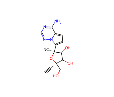 C#C[C@]1(CO)O[C@@](C#N)(c2ccc3c(N)ncnn23)C(O)C1O